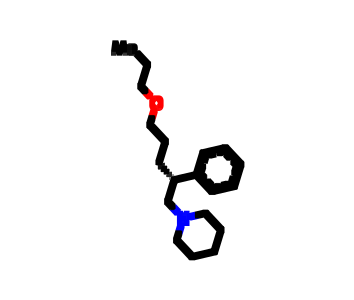 [Mo][CH2]COCCC[C@@H](CN1CCCCC1)c1ccccc1